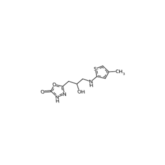 Cc1csc(NCC(O)Cc2n[nH]c(=O)o2)c1